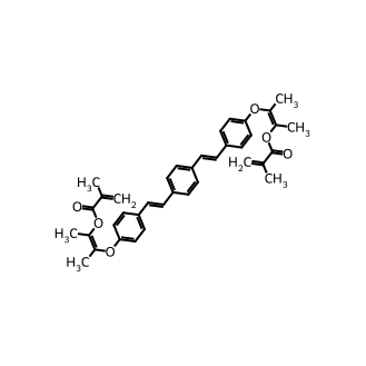 C=C(C)C(=O)OC(C)=C(C)Oc1ccc(/C=C/c2ccc(/C=C/c3ccc(OC(C)=C(C)OC(=O)C(=C)C)cc3)cc2)cc1